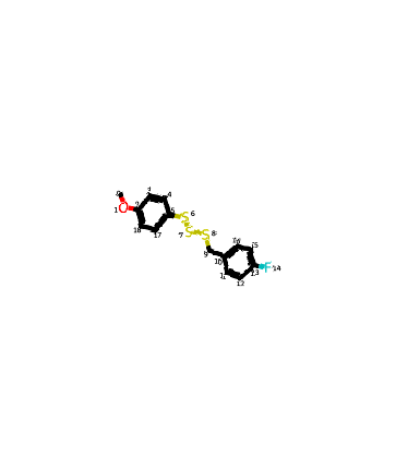 COc1ccc(SSSCc2ccc(F)cc2)cc1